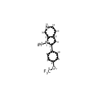 CC(C)n1c(-c2ccc(OC(F)(F)F)cc2)cc2ccncc21